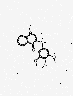 COc1cc(Nc2cn(C)c3ccccc3c2=O)cc(OC)c1OC